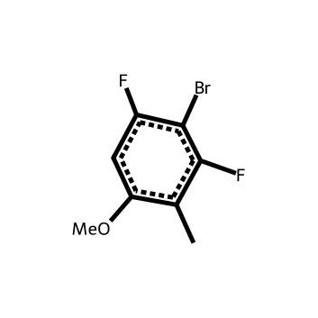 COc1cc(F)c(Br)c(F)c1C